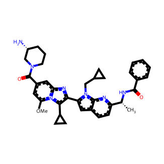 COc1cc(C(=O)N2CCC[C@@H](N)C2)cc2nc(-c3cc4ccc([C@@H](C)NC(=O)c5ccccc5)nc4n3CC3CC3)c(C3CC3)n12